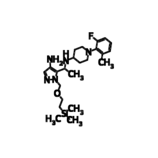 Cc1cccc(F)c1N1CCC(NC(C)c2c(N)cnn2COCC[Si](C)(C)C)CC1